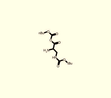 CCCCOC(=O)OC(=O)C(N)CNC(=O)OC(C)(C)C